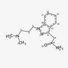 CN(C)CCCn1nc(CC(N)=O)c2ccccc21